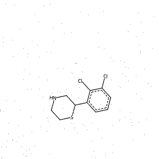 Clc1cccc(C2CNCCS2)c1Cl